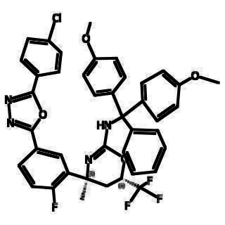 COc1ccc(C(NC2=N[C@](C)(c3cc(-c4nnc(-c5ccc(Cl)cc5)o4)ccc3F)C[C@@H](C(F)(F)F)O2)(c2ccccc2)c2ccc(OC)cc2)cc1